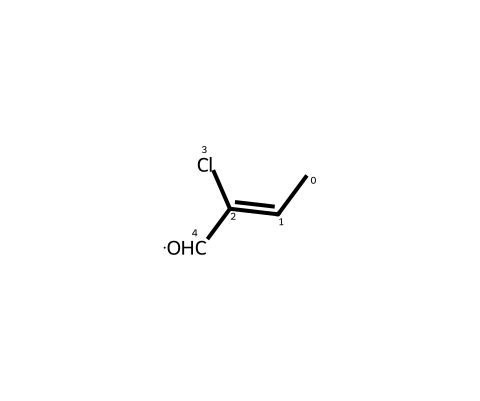 C/C=C(\Cl)[C]=O